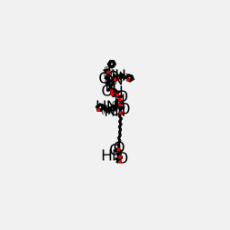 CC(C)(C)C(=O)NCC(=O)OCCCCCCCCCCCCNC(=O)[C@@H]1CN(C(=O)c2ccc(C(=O)N3C[C@@H](C(=O)N[C@H]4C[C@@H]4c4ccccc4)[C@H](C(=O)N[C@H]4C[C@@H]4c4ccccc4)C3)cc2)C[C@H]1C(=O)N[C@H]1C[C@@H]1c1ccccc1